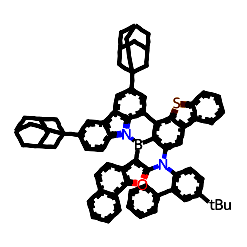 CC(C)(C)c1ccc(N2c3cc4c(sc5ccccc54)c4c3B(c3c2oc2c3ccc3ccccc32)n2c3ccc(C56CC7CC(CC(C7)C5)C6)cc3c3cc(C56CC7CC(CC(C7)C5)C6)cc-4c32)c(-c2ccccc2)c1